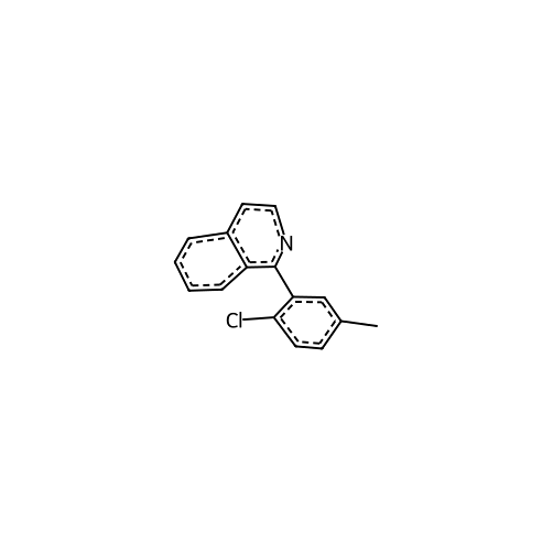 Cc1ccc(Cl)c(-c2nccc3ccccc23)c1